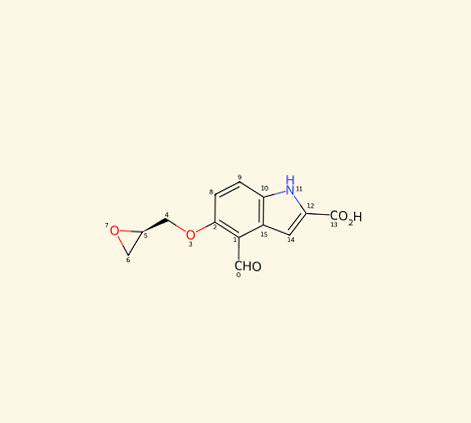 O=Cc1c(OC[C@H]2CO2)ccc2[nH]c(C(=O)O)cc12